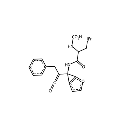 CC(C)CC(NC(=O)O)C(=O)N[C@]1(C(=C=O)Cc2ccccc2)c2ccoc21